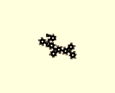 Brc1ccccc1Cn1c(-c2ccccc2)nc2cc(-n3c4ccccc4c4cc(-c5ccc6c(c5)c5ccccc5n6-c5ccccc5)ccc43)ccc21